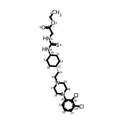 CCOC(=O)CNC(=S)N[C@H]1CC[C@H](CCN2CCN(c3cccc(Cl)c3Cl)CC2)CC1